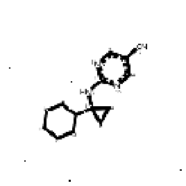 N#Cc1cnc(NC2(C3CCCCC3)CC2)nc1